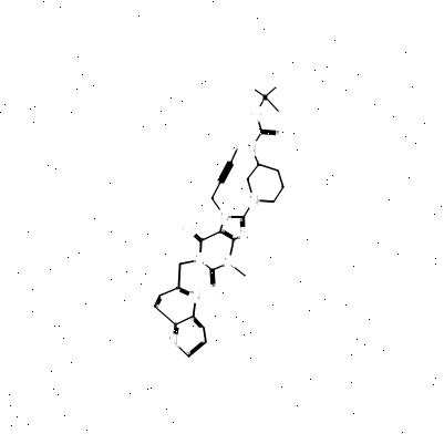 CC#CCn1c(N2CCCC(NC(=O)OC(C)(C)C)C2)nc2c1c(=O)n(Cc1ccc3ncccc3n1)c(=O)n2C